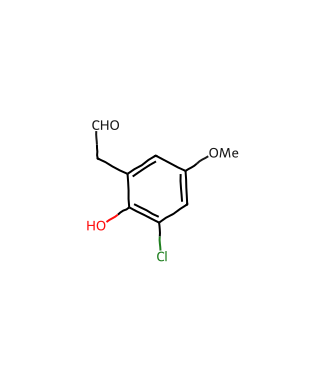 COc1cc(Cl)c(O)c(CC=O)c1